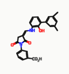 Cc1cc(C)cc(-c2cccc(N/C=C3/CC(=O)N(c4cccc(C(=O)O)c4)C3=O)c2O)c1